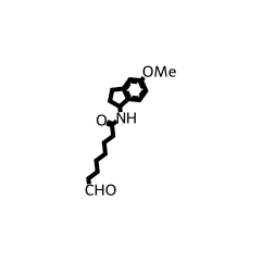 COc1ccc2c(c1)CCC2NC(=O)CCCCCCC=O